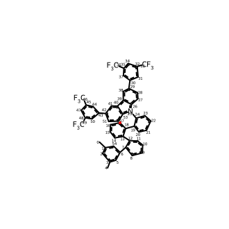 Cc1cc(C)cc(-c2ccccc2-c2ccccc2-c2ccccc2-n2c3ccc(-c4cc(C(F)(F)F)cc(C(F)(F)F)c4)cc3c3cc(-c4cc(C(F)(F)F)cc(C(F)(F)F)c4)ccc32)c1